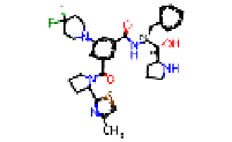 Cc1csc(C2CCCN2C(=O)c2cc(C(=O)N[C@@H](Cc3ccccc3)[C@H](O)C3CCCN3)cc(N3CCC(F)(F)CC3)c2)n1